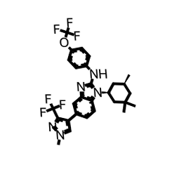 C[C@@H]1C[C@H](n2c(Nc3ccc(OC(F)(F)F)cc3)nc3cc(-c4cn(C)nc4C(F)(F)F)ccc32)CC(C)(C)C1